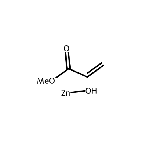 C=CC(=O)OC.[OH][Zn]